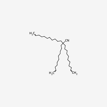 C=CCCCCCCCCCC(C#N)(CCCCCCCCCC=C)CCCCCCCCCC=C